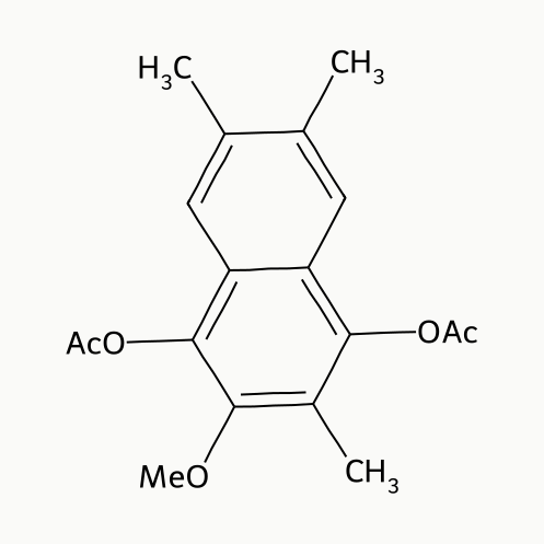 COc1c(C)c(OC(C)=O)c2cc(C)c(C)cc2c1OC(C)=O